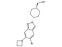 OC[C@H]1CC[C@H](n2cc3cc(Br)c(N4CCC4)cc3n2)CC1